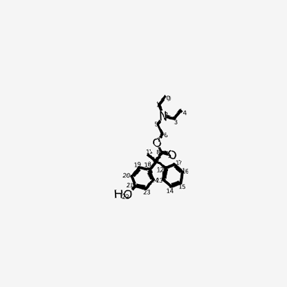 CCN(CC)CCOC(=O)C(C)(c1ccccc1)c1ccc(O)cc1